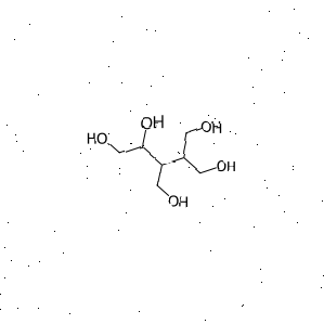 OCC(O)C(CO)C(CO)CO